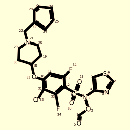 O=CON(c1cscn1)S(=O)(=O)c1c(F)cc(OC2CCN(Cc3ccccc3)CC2)c(Cl)c1F